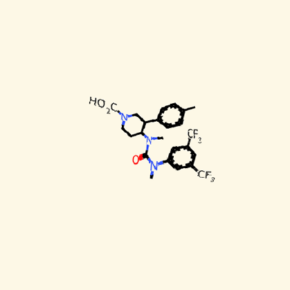 Cc1ccc(C2CN(C(=O)O)CCC2N(C)C(=O)N(C)c2cc(C(F)(F)F)cc(C(F)(F)F)c2)cc1